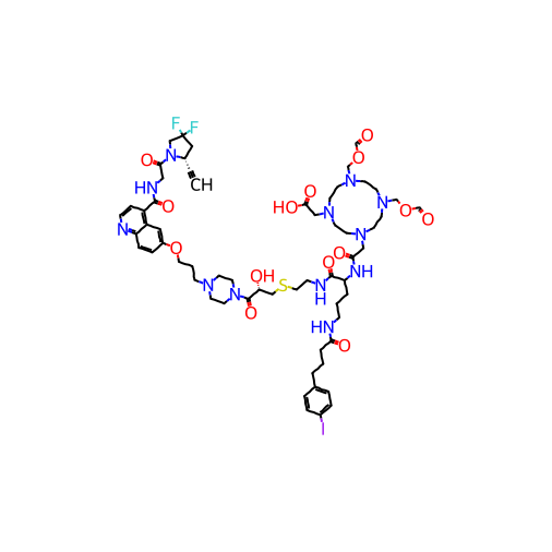 C#C[C@H]1CC(F)(F)CN1C(=O)CNC(=O)c1ccnc2ccc(OCCCN3CCN(C(=O)[C@H](O)CSCCNC(=O)C(CCCNC(=O)CCCc4ccc(I)cc4)NC(=O)CN4CCN(COC=O)CCN(COC=O)CCN(CC(=O)O)CC4)CC3)cc12